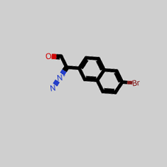 [N-]=[N+]=C(C=O)c1ccc2cc(Br)ccc2c1